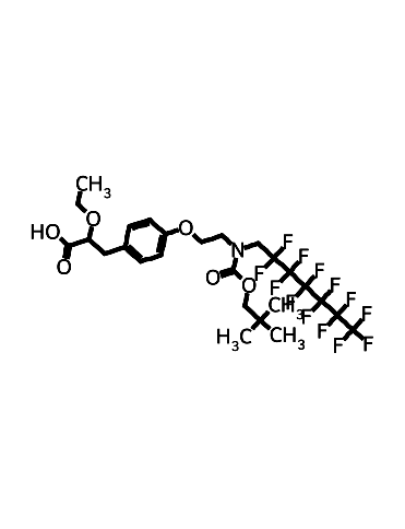 CCOC(Cc1ccc(OCCN(CC(F)(F)C(F)(F)C(F)(F)C(F)(F)C(F)(F)C(F)(F)F)C(=O)OCC(C)(C)C)cc1)C(=O)O